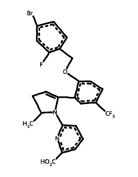 CC1CC=C(c2cc(C(F)(F)F)ccc2OCc2ccc(Br)cc2F)N1c1cccc(C(=O)O)n1